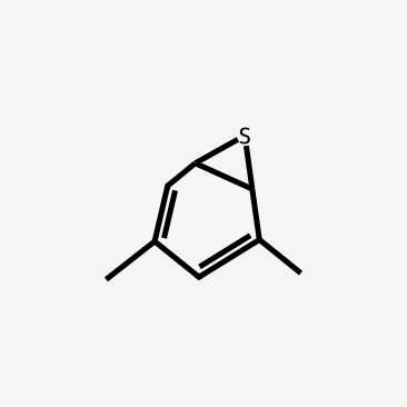 CC1=CC2SC2C(C)=C1